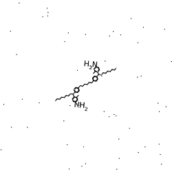 CCCCCCCCC(c1ccc(CCCCCCc2ccc(C(CCCCCCCC)c3ccc(N)cc3C)cc2)cc1)c1ccc(N)cc1C